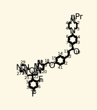 CCCN1CCN(c2ccc(C(=O)C=Cc3ccc(OCc4cn(CC(O)(Cn5cncn5)c5ccc(F)cc5F)nn4)cc3)cc2)CC1